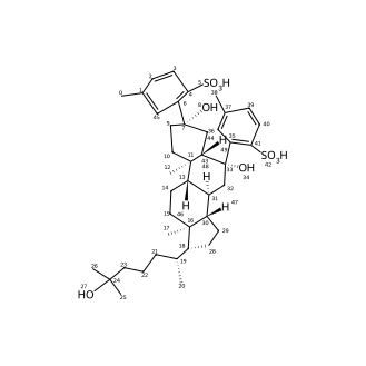 Cc1ccc(S(=O)(=O)O)c([C@]2(O)CC[C@]3(C)[C@H]4CC[C@]5(C)[C@@H]([C@H](C)CCCC(C)(C)O)CC[C@H]5[C@@H]4C[C@](O)(c4cc(C)ccc4S(=O)(=O)O)[C@H]3C2)c1